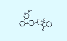 COc1ncc(-c2ccccc2N2CCN(C(=O)CN3C(=O)c4ccccc4S3(=O)=O)CC2)cn1